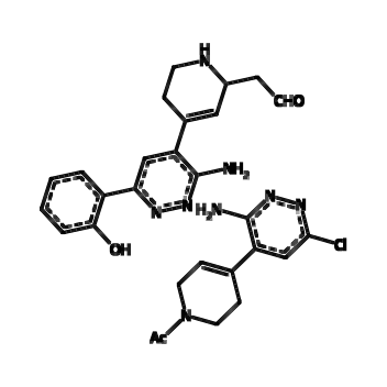 CC(=O)N1CC=C(c2cc(Cl)nnc2N)CC1.Nc1nnc(-c2ccccc2O)cc1C1=CC(CC=O)NCC1